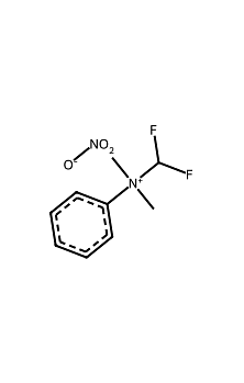 C[N+](C)(c1ccccc1)C(F)F.O=[N+]([O-])[O-]